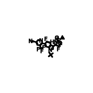 CC(C)(C)Cn1cc([C@H](NS(=O)(=O)C2CC2)C(F)F)c2cc(F)c(-c3ncc(C#N)cc3C(F)(F)F)cc21